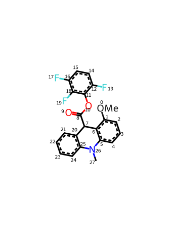 COc1cccc2c1C(C(=O)Oc1c(F)ccc(F)c1F)c1ccccc1N2C